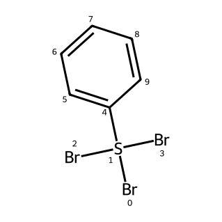 BrS(Br)(Br)c1ccccc1